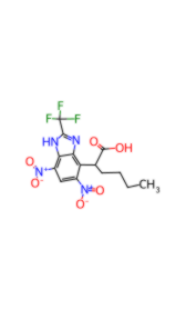 CCCCC(C(=O)O)c1c([N+](=O)[O-])cc([N+](=O)[O-])c2[nH]c(C(F)(F)F)nc12